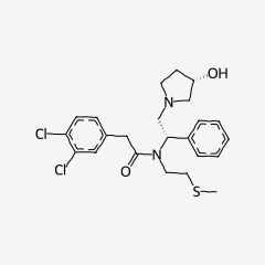 CSCCN(C(=O)Cc1ccc(Cl)c(Cl)c1)[C@H](CN1CC[C@H](O)C1)c1ccccc1